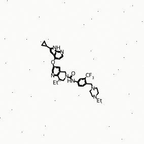 CC[C@H]1CN(C(=O)Nc2ccc(CN3CCN(CC)CC3)c(C(F)(F)F)c2)Cc2cc(Oc3ccnc4[nH]c(C5CC5)cc34)cnc21